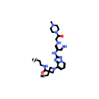 CN1CCN(C(=O)CN/C=C(\C=N)Nc2nc3c(N4CC(CC#N)(C(=O)NCCC(F)(F)F)C4)cccn3n2)CC1